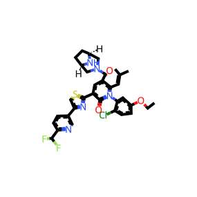 CCOc1ccc(Cl)c(-n2c(C=C(C)C)c(C(=O)N3C[C@H]4CC[C@@H](C3)N4)cc(-c3nc(-c4ccc(C(F)F)nc4)cs3)c2=O)c1